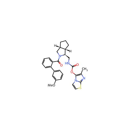 COc1cccc(-c2ccccc2C(=O)N2C[C@@H]3CCC[C@@H]3[C@H]2CNC(=O)Oc2c(C)nc3sccn23)c1